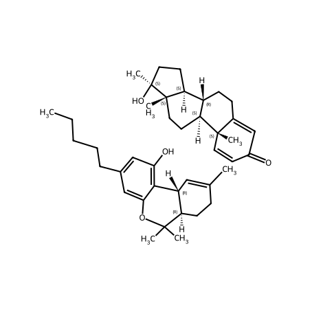 CCCCCc1cc(O)c2c(c1)OC(C)(C)[C@@H]1CCC(C)=C[C@@H]21.C[C@]12C=CC(=O)C=C1CC[C@@H]1[C@@H]2CC[C@@]2(C)[C@H]1CC[C@]2(C)O